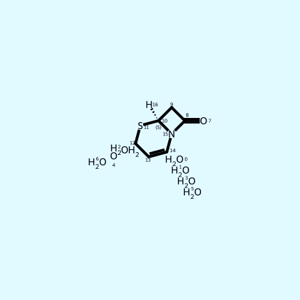 O.O.O.O.O.O.O.O=C1C[C@@H]2SCC=CN12